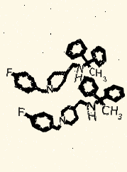 CC(NCC1CCN(Cc2ccc(F)cc2)CC1)(c1ccccc1)c1ccccc1.CC(NCC1CCN(Cc2ccc(F)cc2)CC1)(c1ccccc1)c1ccccc1